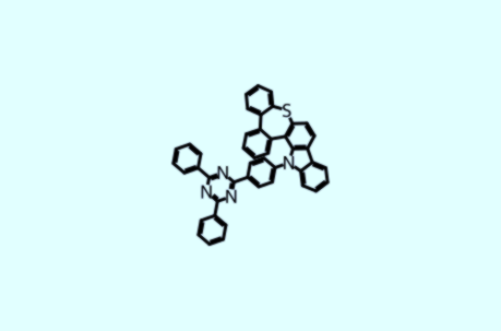 c1ccc(-c2nc(-c3ccccc3)nc(-c3ccc(-n4c5ccccc5c5ccc6c(c54)-c4ccccc4-c4ccccc4S6)cc3)n2)cc1